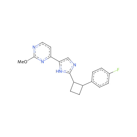 COc1nccc(-c2cnc(C3CCC3c3ccc(F)cc3)[nH]2)n1